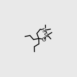 CCCC1(CCC)CC[Si](C)(C)[Si](C)(C)O1